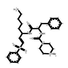 Br.NCCCCC(C=CS(=O)(=O)c1ccccc1)NC(=O)C(Cc1ccccc1)NC(=O)N1CCOCC1